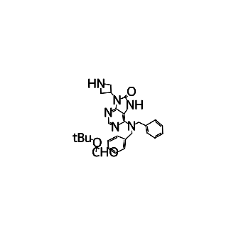 CC(C)(C)OC=O.O=c1[nH]c2c(N(Cc3ccccc3)Cc3ccccc3)ncnc2n1C1CNC1